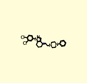 Clc1ccc(-n2ncc3c2CCC/C3=C\CN2CCN(c3ccccc3)CC2)cc1Cl